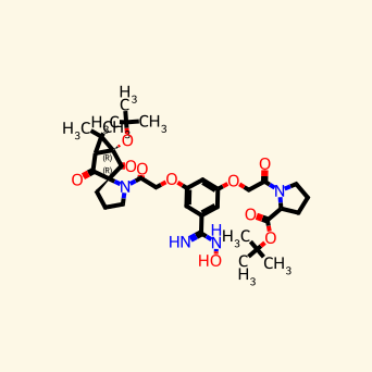 CC(C)(C)OC(=O)C1CCCN1C(=O)COc1cc(OCC(=O)N2CCC[C@]23C(=O)C2C(C)(C)[C@@]2(OC(C)(C)C)C3=O)cc(C(=N)NO)c1